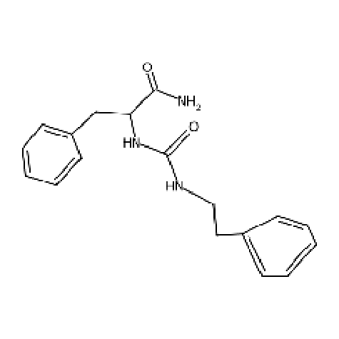 NC(=O)C(Cc1ccccc1)NC(=O)NCCc1ccccc1